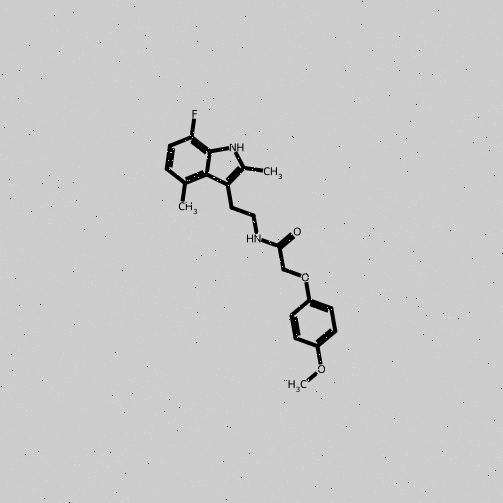 COc1ccc(OCC(=O)NCCc2c(C)[nH]c3c(F)ccc(C)c23)cc1